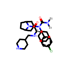 CCN(CC)C(=O)N(C1CCCCC1)C1CC2CCC(C1)N2C(=O)[C@@H](Cc1ccc(Cl)cc1)NCC1CCNCC1